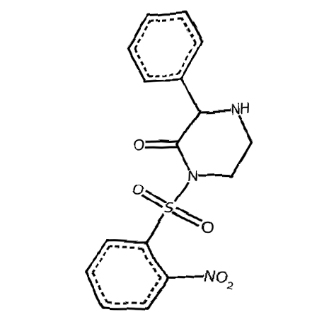 O=C1C(c2ccccc2)NCCN1S(=O)(=O)c1ccccc1[N+](=O)[O-]